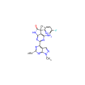 CCCCc1nc(-c2nc(N)c3c(n2)NC(=O)C3(C)c2ccc(F)cn2)c2cnn(C)c2n1